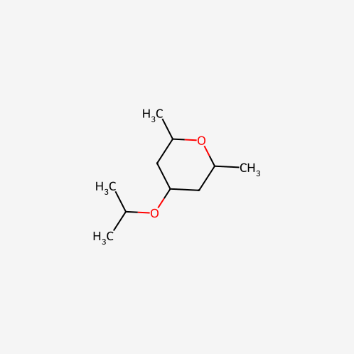 CC(C)OC1CC(C)OC(C)C1